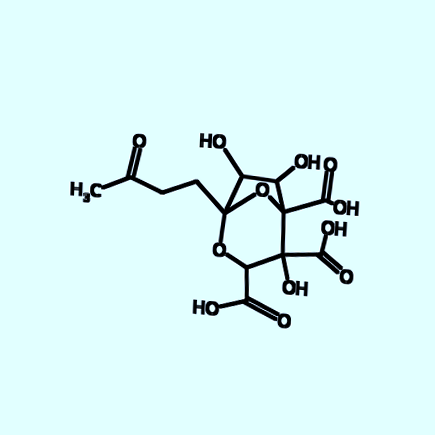 CC(=O)CCC12OC(C(=O)O)C(O)(C(=O)O)C(C(=O)O)(O1)C(O)C2O